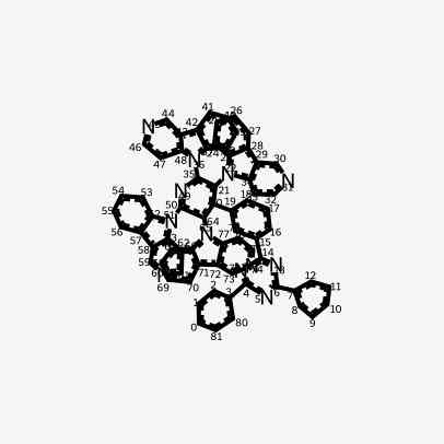 c1ccc(-c2nc(-c3ccccc3)nc(-c3cccc(-c4c(-n5c6ccccc6c6cnccc65)c(-n5c6ccccc6c6cnccc65)nc(-n5c6ccccc6c6cnccc65)c4-n4c5ccccc5c5cnccc54)c3)n2)cc1